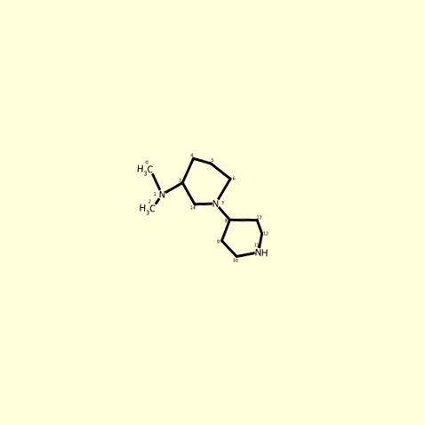 CN(C)C1CCCN(C2CCNCC2)C1